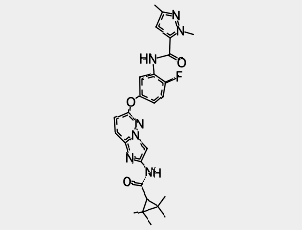 Cc1cc(C(=O)Nc2cc(Oc3ccc4nc(NC(=O)C5C(C)(C)C5(C)C)cn4n3)ccc2F)n(C)n1